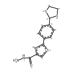 NNC(=O)c1csc(-c2ccc(C3SCCS3)cc2)n1